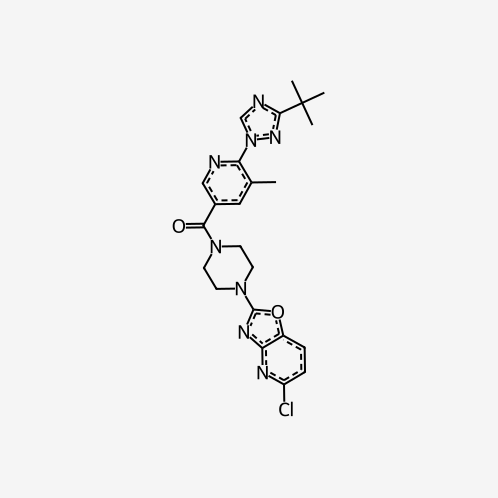 Cc1cc(C(=O)N2CCN(c3nc4nc(Cl)ccc4o3)CC2)cnc1-n1cnc(C(C)(C)C)n1